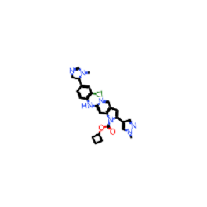 CN1C=NCC1c1ccc(Nc2cc3c(cn2)cc(-c2cnn(C)c2)n3C(=O)OC2CCC2)c(Cl)c1